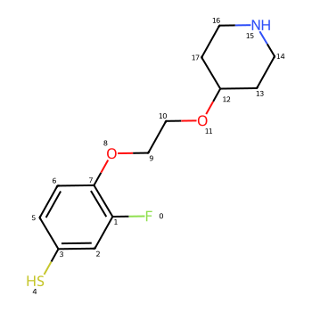 Fc1cc(S)ccc1OCCOC1CCNCC1